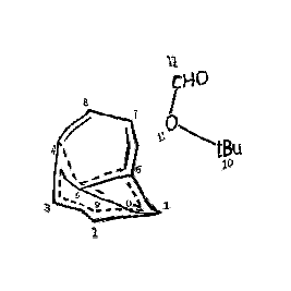 C1=c2ccc3c(c2=CC=3)=C1.CC(C)(C)OC=O